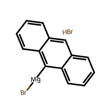 Br.[Br][Mg][c]1c2ccccc2cc2ccccc12